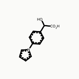 O=C(O)C(O)c1ccc(-n2cccc2)cc1